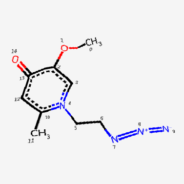 COc1cn(CCN=[N+]=[N-])c(C)cc1=O